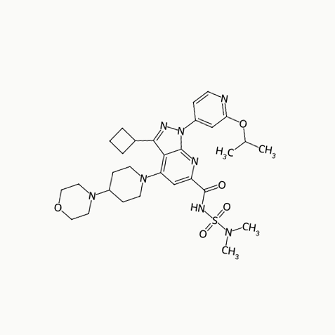 CC(C)Oc1cc(-n2nc(C3CCC3)c3c(N4CCC(N5CCOCC5)CC4)cc(C(=O)NS(=O)(=O)N(C)C)nc32)ccn1